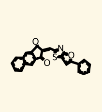 O=C1C(=Cc2nc3oc(-c4ccccc4)cc3s2)C(=O)c2cc3ccccc3cc21